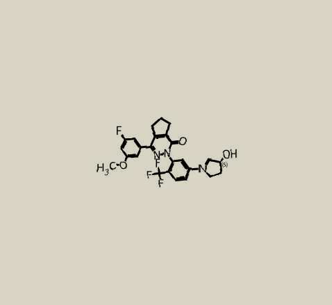 COc1cc(F)cc(-c2nn(-c3cc(N4CC[C@H](O)C4)ccc3C(F)(F)F)c(=O)c3c2CCC3)c1